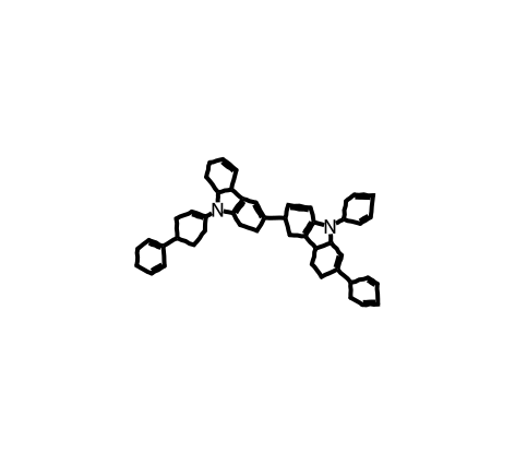 C1=CCC(C2=CC3C(CC2)C2=C(C=CC(C4=CC5=C(CC4)N(C4=CCC(C6=CCCC=C6)CC4)C4CCC=CC54)C2)N3C2C=CC=CC2)C=C1